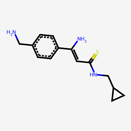 NCc1ccc(C(N)=CC(=S)NCC2CC2)cc1